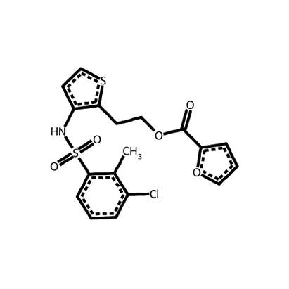 Cc1c(Cl)cccc1S(=O)(=O)Nc1ccsc1CCOC(=O)c1ccco1